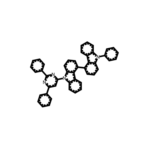 c1ccc(-c2cc(-n3c4ccccc4c4c(-c5cccc6c5c5ccccc5n6-c5ccccc5)cccc43)nc(-c3ccccc3)n2)cc1